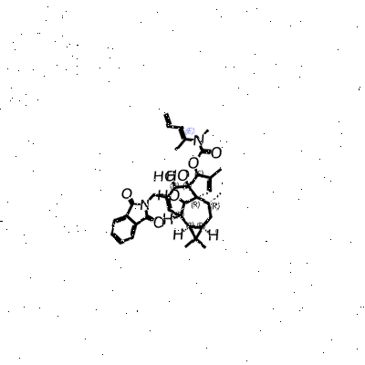 C=C/C=C(\C)N(C)C(=O)O[C@H]1C(C)=C[C@]23C(O)[C@@H](C=C(CN4C(=O)c5ccccc5C4=O)[C@@H](O)[C@]12O)[C@H]1[C@@H](C[C@H]3C)C1(C)C